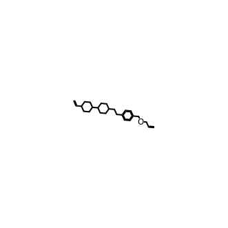 C=CCOCc1ccc(CCC2CCC(C3CCC(C=C)CC3)CC2)cc1